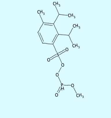 CO[PH](=O)OOS(=O)(=O)c1ccc(C)c(C(C)C)c1C(C)C